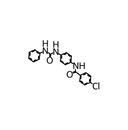 O=C(Nc1ccccc1)Nc1ccc(NC(=O)c2ccc(Cl)cc2)cc1